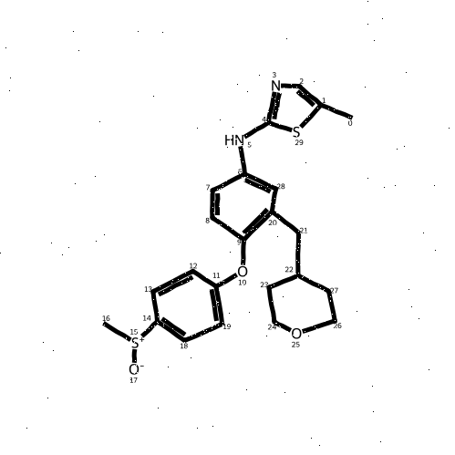 Cc1cnc(Nc2ccc(Oc3ccc([S+](C)[O-])cc3)c(CC3CCOCC3)c2)s1